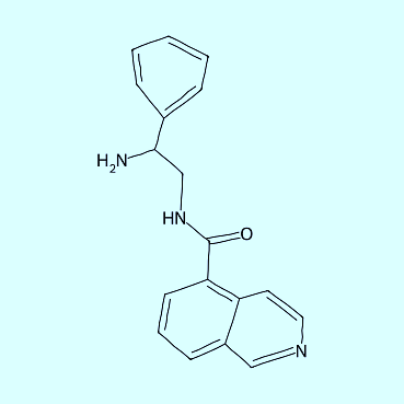 NC(CNC(=O)c1cccc2cnccc12)c1ccccc1